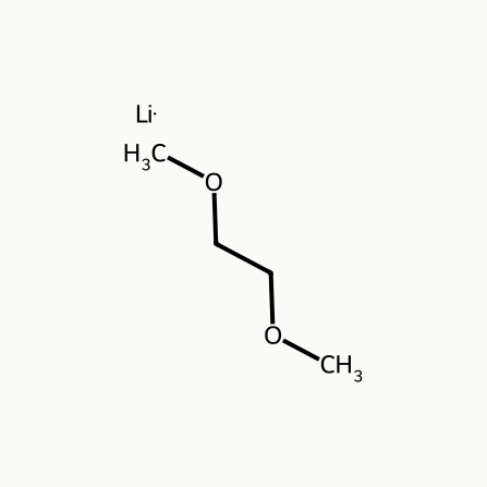 COCCOC.[Li]